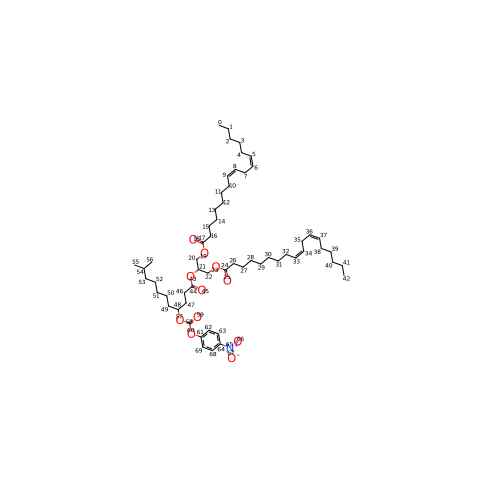 CCCCC/C=C\C/C=C\CCCCCCCC(=O)OCC(COC(=O)CCCCCCC/C=C\C/C=C\CCCCC)OC(=O)CCC(CCCCCC(C)C)OC(=O)Oc1ccc([N+](=O)[O-])cc1